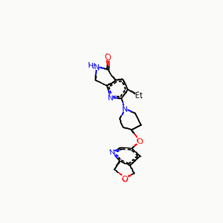 CCc1cc2c(nc1N1CCC(Oc3cnc4c(c3)COC4)CC1)CNC2=O